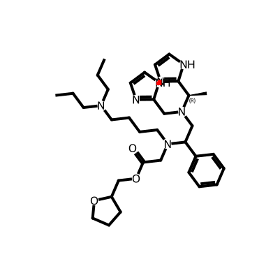 CCCN(CCC)CCCCN(CC(=O)OCC1CCCO1)C(CN(Cc1ncc[nH]1)[C@H](C)c1ncc[nH]1)c1ccccc1